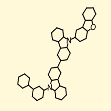 C1CCC(C2CCCC(N3C4CCCCC4C4CC(C5CCC6C(C5)C5CCCCC5N6C5CCC6OC7CCCCC7C6C5)CCC43)C2)CC1